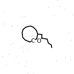 CCCCC1CC2CCCCCCCCCCC2O1